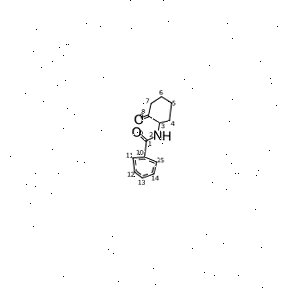 O=C(NC1CCCCC1=O)c1ccccc1